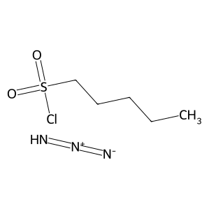 CCCCCS(=O)(=O)Cl.[N-]=[N+]=N